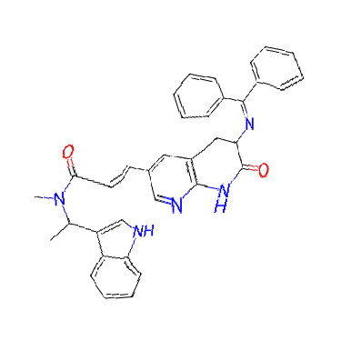 CC(c1c[nH]c2ccccc12)N(C)C(=O)/C=C/c1cnc2c(c1)CC(N=C(c1ccccc1)c1ccccc1)C(=O)N2